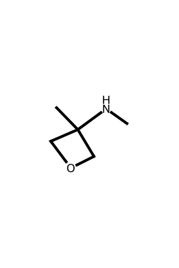 CNC1(C)COC1